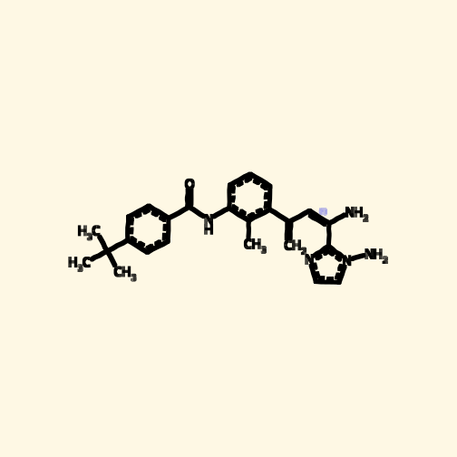 C=C(/C=C(/N)c1nccn1N)c1cccc(NC(=O)c2ccc(C(C)(C)C)cc2)c1C